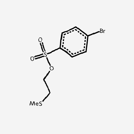 CSCCOS(=O)(=O)c1ccc(Br)cc1